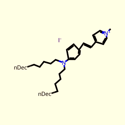 CCCCCCCCCCCCCCCN(CCCCCCCCCCCCCCC)c1ccc(C=Cc2cc[n+](C)cc2)cc1.[I-]